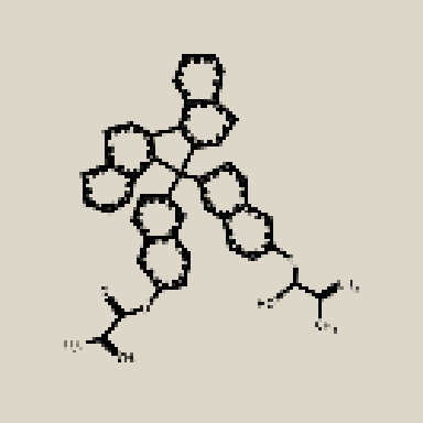 C=C(C)C(=O)Oc1ccc2cc(C3(c4ccc5cc(OC(O)C(=C)C)ccc5c4)c4ccc5ccccc5c4-c4ccc5ccccc5c43)ccc2c1